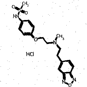 CN(CCOc1ccc(NS(C)(=O)=O)cc1)CCc1ccc2nonc2c1.Cl